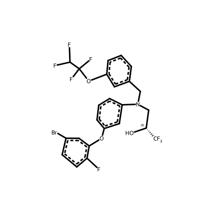 O[C@H](CN(Cc1cccc(OC(F)(F)C(F)F)c1)c1cccc(Oc2cc(Br)ccc2F)c1)C(F)(F)F